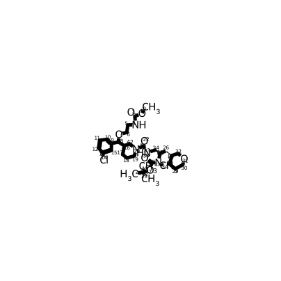 COC(=O)NCCOC(c1cccc(Cl)c1)C1CCCN(C(=O)NC[C@@H](C[C@H]2CCCOC2)N(C)C(=O)OC(C)(C)C)C1